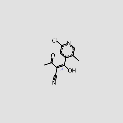 CC(=O)/C(C#N)=C(/O)c1cc(Cl)ncc1C